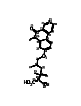 CC(COc1ccc2c3ccncc3c(=O)n(C)c2c1)CC(C)(C)N(C(=O)O)C(C)(C)C